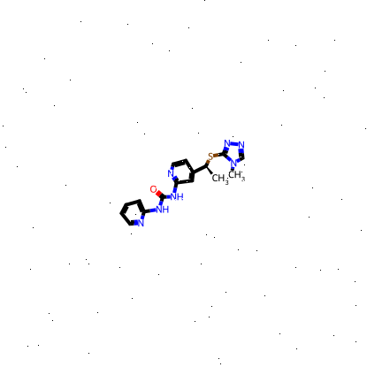 C[C@H](Sc1nncn1C)c1ccnc(NC(=O)Nc2ccccn2)c1